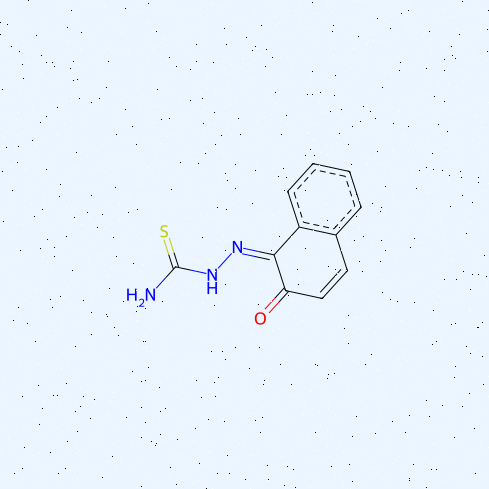 NC(=S)NN=C1C(=O)C=Cc2ccccc21